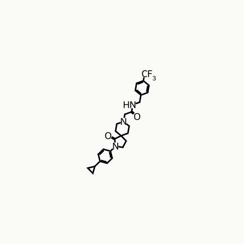 O=C(CN1CCC2(CC1)CCN(c1ccc(C3CC3)cc1)C2=O)NCc1ccc(C(F)(F)F)cc1